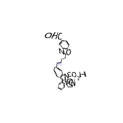 O=Cc1ccc2oc(CC/C=C/c3ccc(-c4ccccc4)c(N(C(=O)O)[C@H]4CN5CCC4CC5)c3)nc2c1